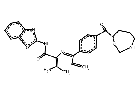 C=C/C(=N\C(C(=O)Nc1nc2ccccc2o1)=C(/C)N)c1ccc(C(=O)N2CCCNCC2)cc1